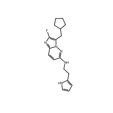 Fc1nc2ccc(NCCc3ccc[nH]3)nn2c1CC1CCCC1